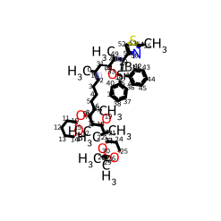 C/C(=C\CCC[C@H](C)[C@H](OC1CCCCO1)C(C)C(=O)C(C)(C)[C@@H]1CCOC(C)(C)O1)C[C@H](O[Si](c1ccccc1)(c1ccccc1)C(C)(C)C)/C(C)=C/c1csc(C)n1